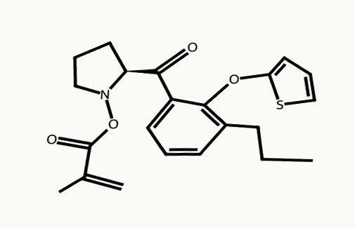 C=C(C)C(=O)ON1CCC[C@H]1C(=O)c1cccc(CCC)c1Oc1cccs1